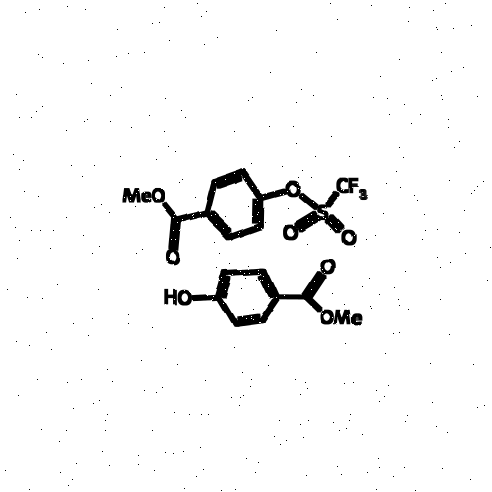 COC(=O)c1ccc(O)cc1.COC(=O)c1ccc(OS(=O)(=O)C(F)(F)F)cc1